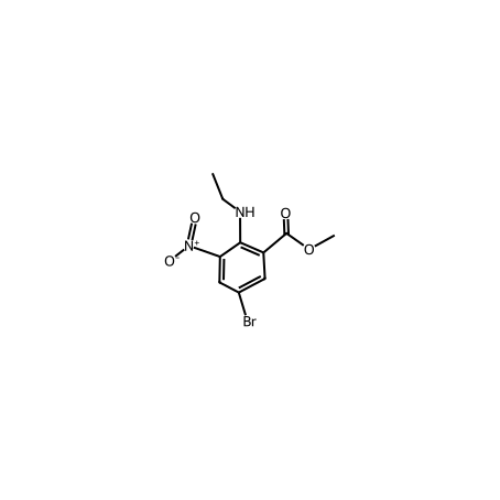 CCNc1c(C(=O)OC)cc(Br)cc1[N+](=O)[O-]